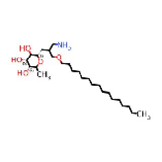 CCCCCCCCCCCCCCCCOCC(CN)C[C@@H]1OC(C)[C@H](O)[C@H](O)C1O